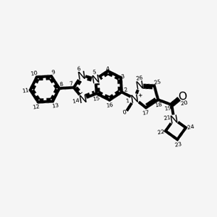 C[N+]1(c2ccn3nc(-c4ccccc4)nc3c2)C=C(C(=O)N2CCC2)C=N1